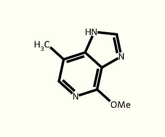 COc1ncc(C)c2[nH]cnc12